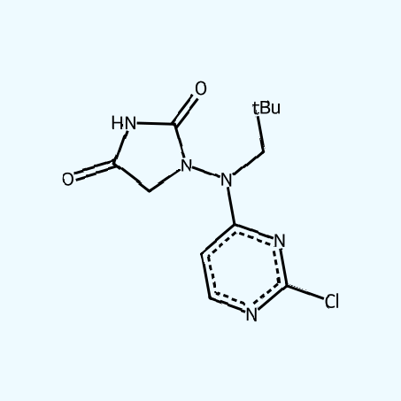 CC(C)(C)CN(c1ccnc(Cl)n1)N1CC(=O)NC1=O